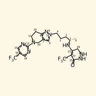 C[C@@H](CCCn1cc2c(n1)CCN(c1ncc(C(F)(F)F)cn1)C2)NC1=C(C(F)(F)F)C(=O)NNC1